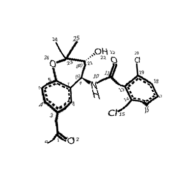 CC(=O)c1ccc2c(c1)[C@H](NC(=O)c1c(Cl)cccc1Cl)[C@@H](O)C(C)(C)O2